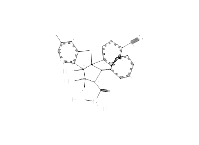 CN(C)C(=O)C1C(c2ccccc2)C2(c3ccc(C#N)cc3)Oc3cc(Cl)cnc3C2(O)C1(C)O